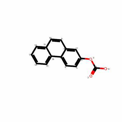 [O]C(=O)Oc1ccc2c(ccc3ccccc32)c1